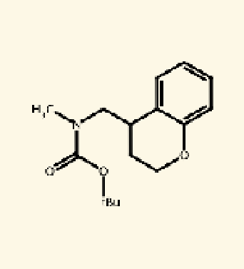 CN(CC1CCOc2ccccc21)C(=O)OC(C)(C)C